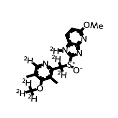 [2H]c1nc(C([2H])([2H])[S+]([O-])c2nc3nc(OC)ccc3n2[2H])c(C)c(OC([2H])([2H])[2H])c1C